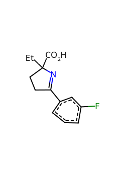 CCC1(C(=O)O)CCC(c2cccc(F)c2)=N1